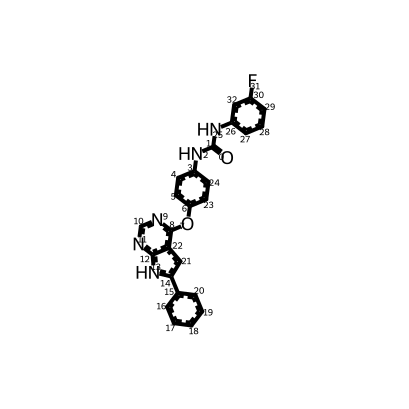 O=C(Nc1ccc(Oc2ncnc3[nH]c(-c4ccccc4)cc23)cc1)Nc1cccc(F)c1